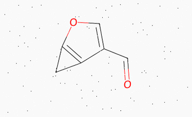 O=Cc1coc2c1C2